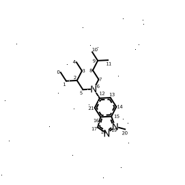 CCC(CC)CN(CCC(C)C)c1ccc2c(cnn2C)c1